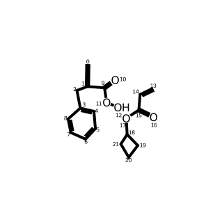 C=C(Cc1ccccc1)C(=O)OO.C=CC(=O)OC1CCC1